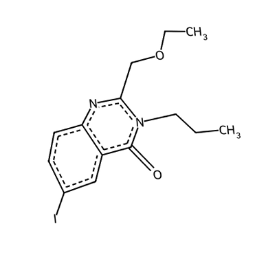 CCCn1c(COCC)nc2ccc(I)cc2c1=O